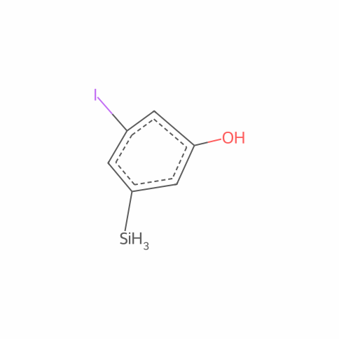 Oc1cc([SiH3])cc(I)c1